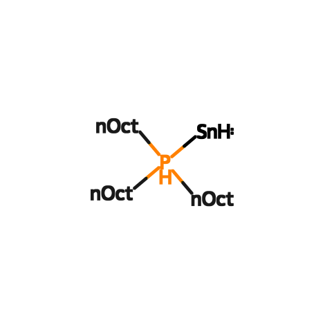 CCCCCCCC[PH]([SnH])(CCCCCCCC)CCCCCCCC